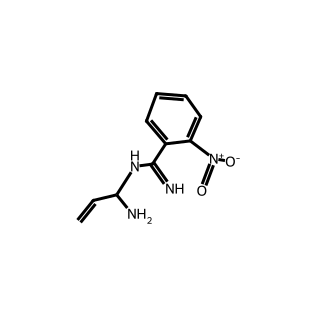 C=CC(N)NC(=N)c1ccccc1[N+](=O)[O-]